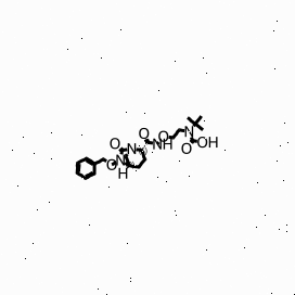 CC(C)(C)N(CCONC(=O)[C@@H]1CC[C@@H]2CN1C(=O)N2OCc1ccccc1)C(=O)O